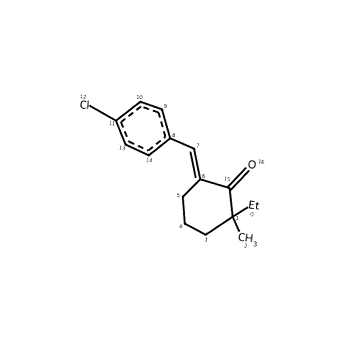 CCC1(C)CCC/C(=C\c2ccc(Cl)cc2)C1=O